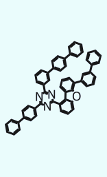 c1ccc(-c2ccc(-c3cccc(-c4nc(-c5ccc(-c6ccccc6)cc5)nc(-c5cccc6oc7c(-c8cccc(-c9ccccc9)c8)cccc7c56)n4)c3)cc2)cc1